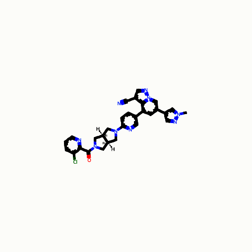 Cn1cc(-c2cc(-c3ccc(N4C[C@H]5CN(C(=O)c6ncccc6Cl)C[C@H]5C4)nc3)c3c(C#N)cnn3c2)cn1